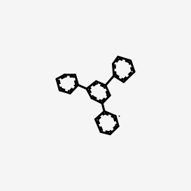 [c]1ccccc1-c1cc(-c2ccccc2)cc(-c2ccccc2)c1